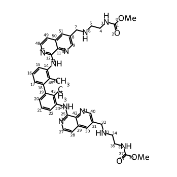 COC(=O)NCCNCc1cnc2c(Nc3cccc(-c4cccc(Nc5nccc6cc(CNCCNC(=O)OC)cnc56)c4C)c3C)nccc2c1